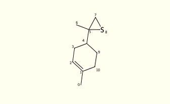 CC1=CCC(C2(C)CS2)CC1